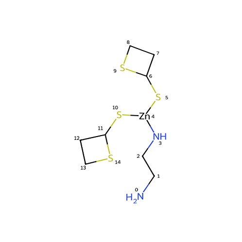 NCC[NH][Zn]([S]C1CCS1)[S]C1CCS1